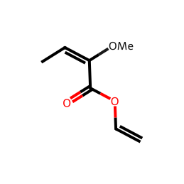 C=COC(=O)C(=CC)OC